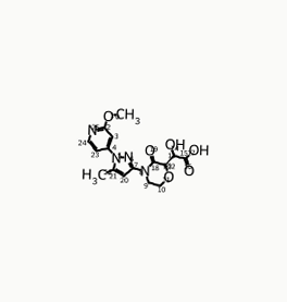 COc1cc(-n2nc(N3CCO[C@H](C(O)C(=O)O)C3=O)cc2C)ccn1